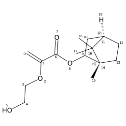 C=C(OCCO)C(=O)OC1C[C@H]2CC[C@@]1(C)C2(C)C